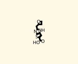 O=C(O)c1cc2[nH]c(CC3CCO3)nc2s1